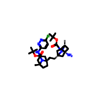 CC(C)(C)OC(=O)N1[C@]2(C)CC[C@@]1(CC[C@@]13CC4[C@](N)(C1)C[C@@]4(C)N3C(=O)OC(C)(C)C)C[C@H](Nc1ccc(Cl)nn1)C2